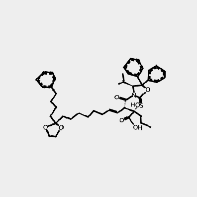 CCC[C@@](O)(C(=O)O)[C@H](/C=C/CCCCCCC1(CCCCc2ccccc2)OCCO1)C(=O)N1C(=S)OC(c2ccccc2)(c2ccccc2)[C@@H]1C(C)C